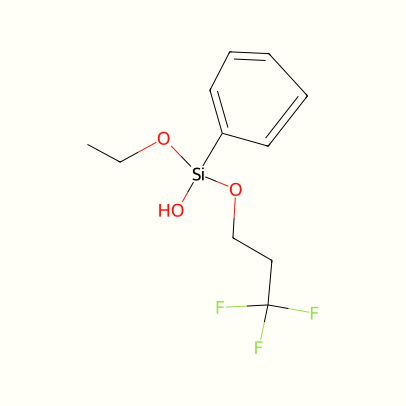 CCO[Si](O)(OCCC(F)(F)F)c1ccccc1